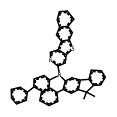 CC1(C)c2ccccc2-c2cc(N(c3ccc(-c4ccccc4)cc3)c3cc4sc5cc6ccccc6cc5c4cn3)c(-c3ccccc3)cc21